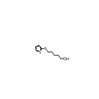 OCCCCCSc1cccs1